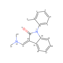 Cc1ccccc1N1C(=O)/C(=C\N(C)C)c2ccccc21